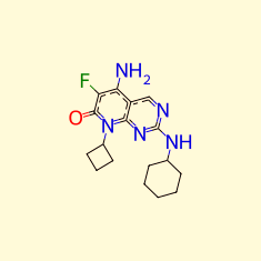 Nc1c(F)c(=O)n(C2CCC2)c2nc(NC3CCCCC3)ncc12